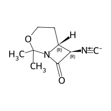 [C-]#[N+][C@H]1C(=O)N2[C@@H]1CCOC2(C)C